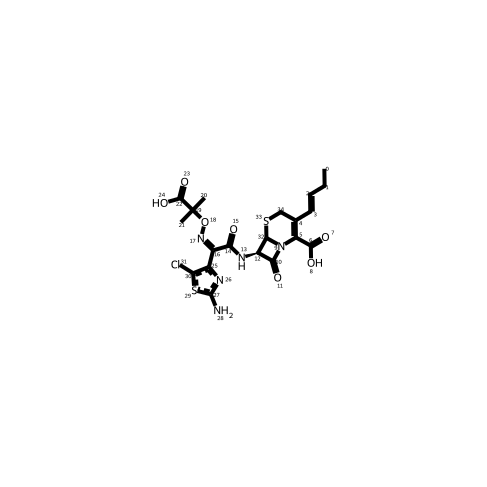 CC/C=C/C1=C(C(=O)O)N2C(=O)[C@@H](NC(=O)/C(=N\OC(C)(C)C(=O)O)c3nc(N)sc3Cl)C2SC1